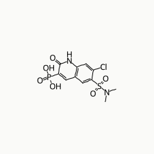 CN(C)S(=O)(=O)c1cc2cc(P(=O)(O)O)c(=O)[nH]c2cc1Cl